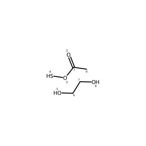 CC(=O)OS.OCCO